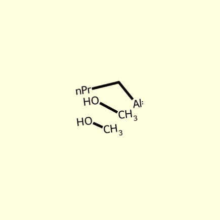 CCC[CH2][Al].CO.CO